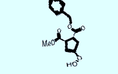 COC(=O)[C@@H]1C[C@H](OO)C[C@H]1C(=O)OCc1ccccc1